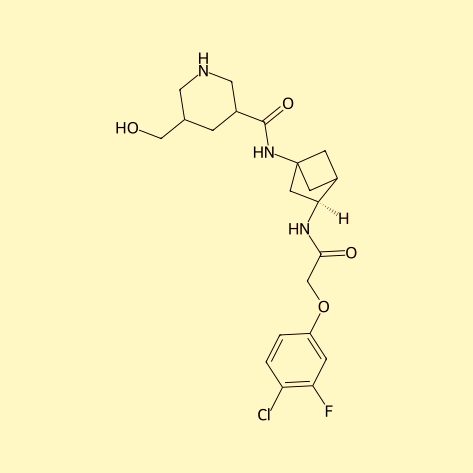 O=C(COc1ccc(Cl)c(F)c1)N[C@H]1CC2(NC(=O)C3CNCC(CO)C3)CC1C2